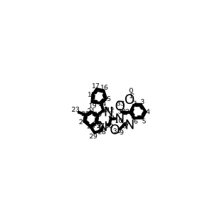 COc1cccc2nc(C)n(C3N=C(c4ccccc4)c4cc(C)cc5c4N(CC5)C3=O)c(=O)c12